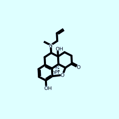 C=CCN(C)C1Cc2ccc(O)c3c2[C@]2(CCC)C(O3)C(=O)CCC12O